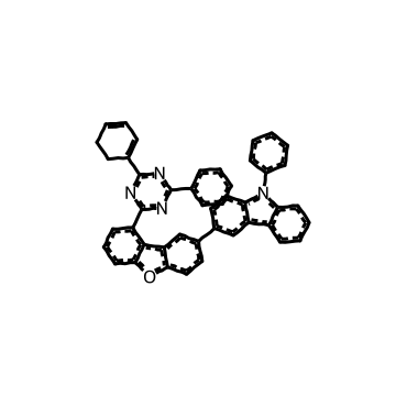 C1=CCCC(c2nc(-c3ccccc3)nc(-c3cccc4oc5ccc(-c6ccc7c(c6)c6ccccc6n7-c6ccccc6)cc5c34)n2)=C1